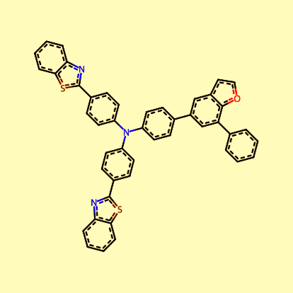 c1ccc(-c2cc(-c3ccc(N(c4ccc(-c5nc6ccccc6s5)cc4)c4ccc(-c5nc6ccccc6s5)cc4)cc3)cc3ccoc23)cc1